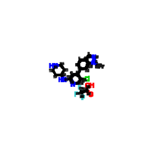 CC(C)n1ncc2ccc(-c3cc(NC4CCNCC4)ncc3Cl)cc21.O=C(O)C(F)(F)F